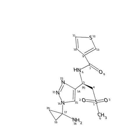 CS(=O)(=O)C[C@H](NC(=O)c1ccsc1)c1cn(C2(N)CC2)nn1